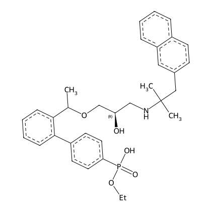 CCOP(=O)(O)c1ccc(-c2ccccc2C(C)OC[C@H](O)CNC(C)(C)Cc2ccc3ccccc3c2)cc1